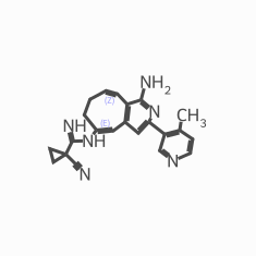 Cc1ccncc1-c1cc2c(c(N)n1)/C=C\CC/C(NC(=N)C1(C#N)CC1)=C\2